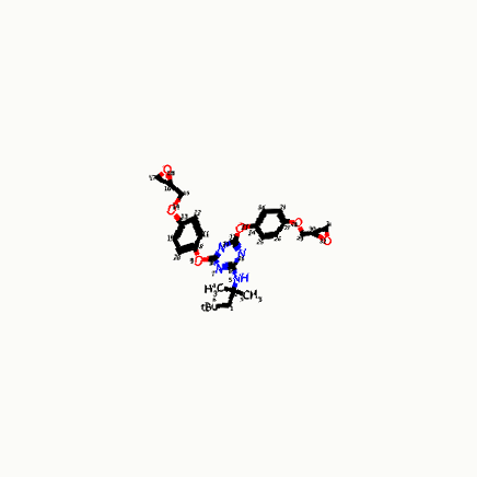 CC(C)(C)CC(C)(C)Nc1nc(Oc2ccc(OCC3CO3)cc2)nc(Oc2ccc(OCC3CO3)cc2)n1